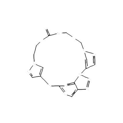 O=C1CCCn2cc(cn2)Nc2ncc3nnn(c3n2)-c2cnn(c2)CCCN1